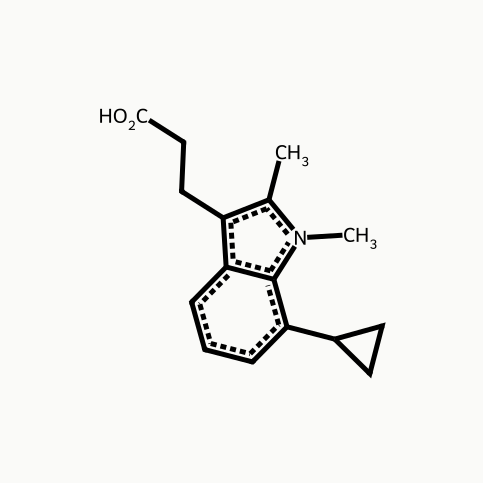 Cc1c(CCC(=O)O)c2cccc(C3CC3)c2n1C